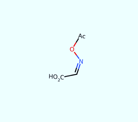 CC(=O)O/N=C\C(=O)O